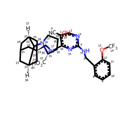 N#Cc1cnc(NCc2ccccc2OC(F)(F)F)nc1NC[C@]12CC3C[C@H](C1)C(N1C[C@H](O)C[C@@H]1C(=O)O)[C@@H](C3)C2